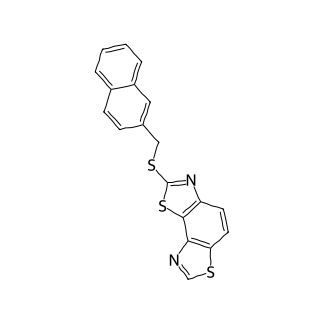 c1ccc2cc(CSc3nc4ccc5scnc5c4s3)ccc2c1